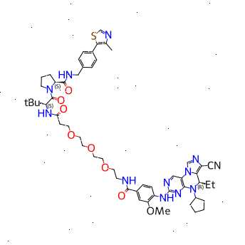 CC[C@@H]1c2c(C#N)ncn2-c2cnc(Nc3ccc(C(=O)NCCOCCOCCOCCC(=O)N[C@H](C(=O)N4CCC[C@H]4C(=O)NCc4ccc(-c5scnc5C)cc4)C(C)(C)C)cc3OC)nc2N1C1CCCC1